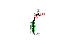 C=C(CO)C(=O)OCCCC(F)(F)C(F)(F)C(F)(F)C(F)(F)C(F)(F)C(F)(F)CCCCCC